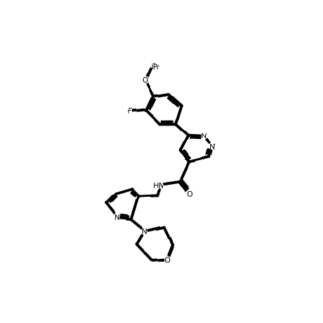 CC(C)Oc1ccc(-c2cc(C(=O)NCc3cccnc3N3CCOCC3)cnn2)cc1F